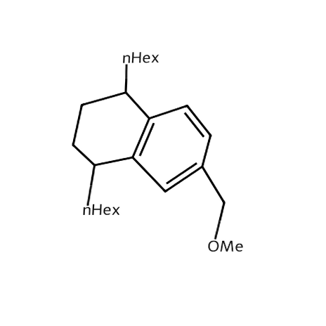 CCCCCCC1CCC(CCCCCC)c2cc(COC)ccc21